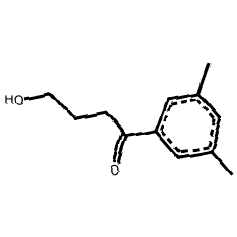 Cc1cc(C)cc(C(=O)CCCO)c1